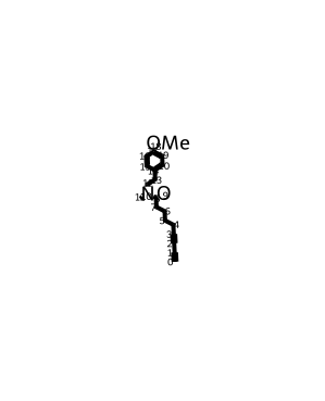 C#CC#CCCCCC(=O)N(C)CCc1ccc(OC)cc1